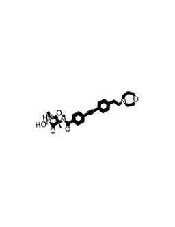 CNC(=O)[C@@](C)(C(=O)NO)N(C)C(=O)c1ccc(C#Cc2ccc(CCN3CCCOCC3)cc2)cc1